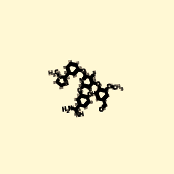 COc1cc(C=O)ccc1Oc1c(F)c(Oc2cccc(C3=NCCN3C)c2)nc(Oc2cc(C(=N)N)ccc2O)c1F